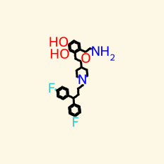 NCC1OC(C2CCN(CCCC(c3ccc(F)cc3)c3ccc(F)cc3)CC2)Cc2c1ccc(O)c2O